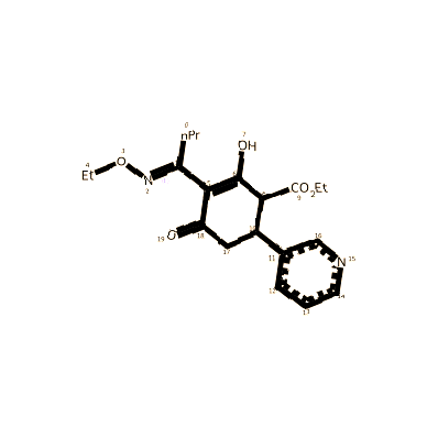 CCC/C(=N\OCC)C1=C(O)C(C(=O)OCC)C(c2cccnc2)CC1=O